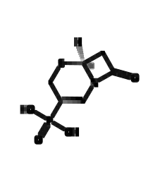 O=C1C[C@@H]2SCC(P(=O)(O)O)=CN12